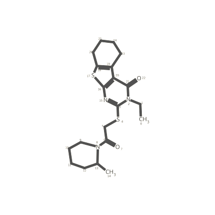 CCn1c(SCC(=O)N2CCCCC2C)nc2sc3c(c2c1=O)CCCC3